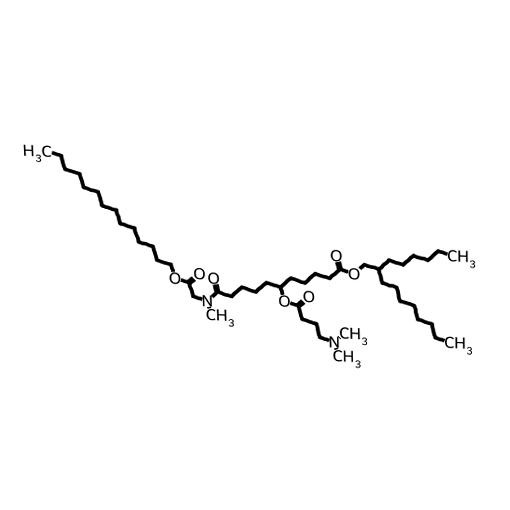 CCCCCCCCCCCCCCOC(=O)CN(C)C(=O)CCCCC(CCCCC(=O)OCC(CCCCCC)CCCCCCCC)OC(=O)CCCN(C)C